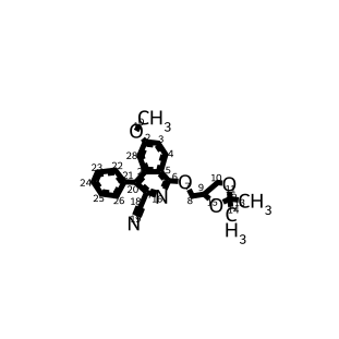 COc1ccc2c(OCC3COC(C)(C)O3)nc(C#N)c(-c3ccccc3)c2c1